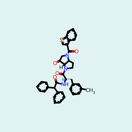 Cc1cccc(C[C@H](NC(=O)C(c2ccccc2)c2ccccc2)C(=O)N2CCC3[C@H]2C(=O)CN3C(=O)c2csc3ccccc23)c1